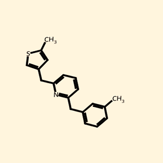 Cc1cccc(Cc2cccc(Cc3csc(C)c3)n2)c1